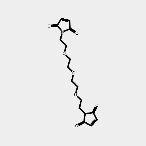 O=C1C=CC(=O)C1CCOCCOCCOCCN1C(=O)C=CC1=O